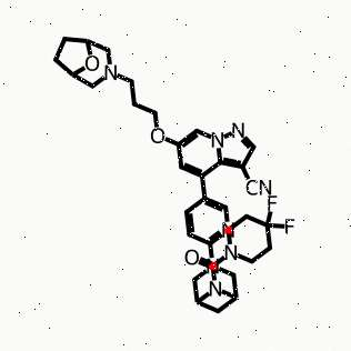 N#Cc1cnn2cc(OCCCN3CC4CCC(C3)O4)cc(-c3ccc(N4CC5CC(C4)N5C(=O)N4CCC(F)(F)CC4)nc3)c12